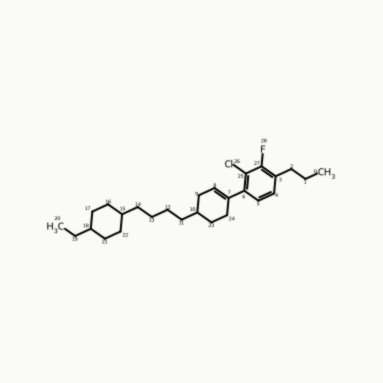 CCCc1ccc(C2=CCC(CCCCC3CCC(CC)CC3)CC2)c(Cl)c1F